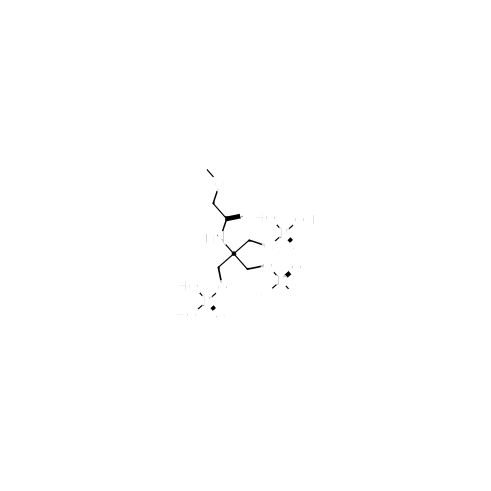 COCC(=O)NC(COP(=O)(O)O)(COP(=O)(O)O)COP(=O)(O)O